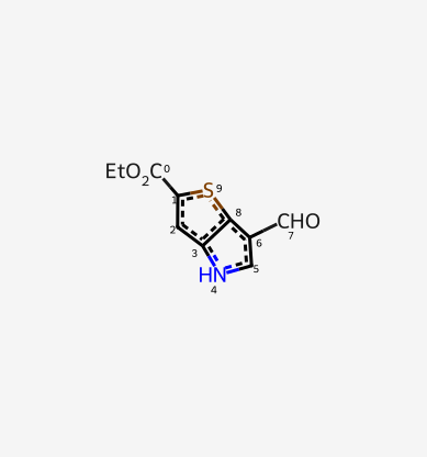 CCOC(=O)c1cc2[nH]cc(C=O)c2s1